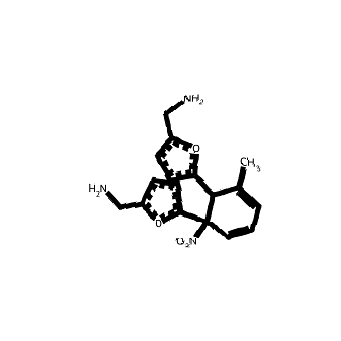 CC1=CC=CC(c2ccc(CN)o2)([N+](=O)[O-])C1c1ccc(CN)o1